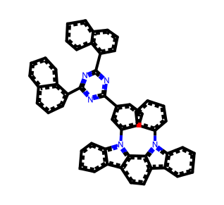 c1ccc(-n2c3ccccc3c3ccc4c5ccccc5n(-c5cccc(-c6nc(-c7cccc8ccccc78)nc(-c7cccc8ccccc78)n6)c5)c4c32)cc1